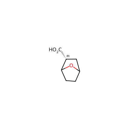 O=C(O)[C@@H]1CC2CCC1O2